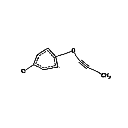 CC#COc1[c]cc(Cl)cc1